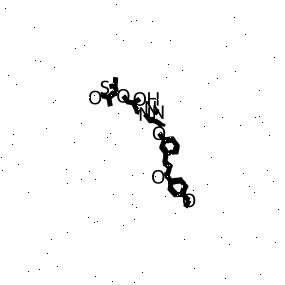 COc1ccc(C(=O)/C=C/c2cccc(OCc3cn(CC(O)COC4=C(C)C(=O)SC4C)nn3)c2)cc1